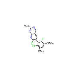 COc1cc(OC)c(Cl)c(-c2cc3cnc(SC)nc3nc2Cl)c1Cl